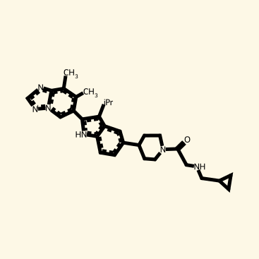 Cc1c(-c2[nH]c3ccc(C4CCN(C(=O)CNCC5CC5)CC4)cc3c2C(C)C)cn2ncnc2c1C